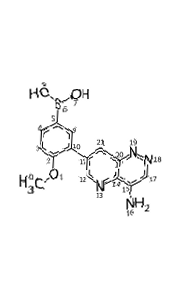 COc1ccc(B(O)O)cc1-c1cnc2c(N)cnnc2c1